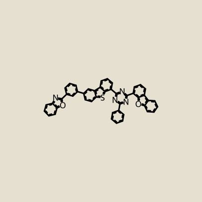 c1ccc(-c2nc(-c3cccc4c3oc3ccccc34)nc(-c3cccc4c3sc3ccc(-c5cccc(-c6nc7ccccc7o6)c5)cc34)n2)cc1